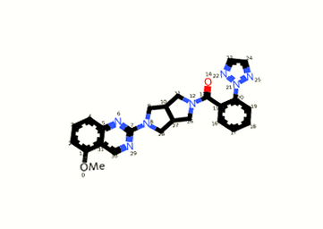 COc1cccc2nc(N3CC4CN(C(=O)c5ccccc5-n5nccn5)CC4C3)ncc12